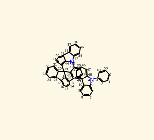 c1ccc(-n2c3ccccc3c3c(-c4cccc5c4C4(c6ccccc6-5)c5ccccc5-n5c6ccccc6c6cccc4c65)cccc32)cc1